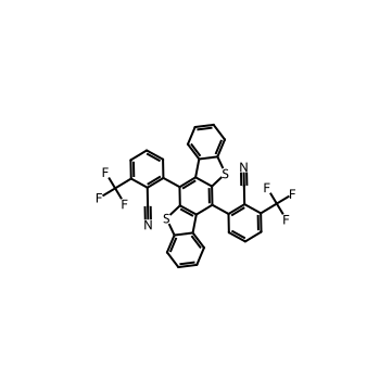 N#Cc1c(-c2c3sc4ccccc4c3c(-c3cccc(C(F)(F)F)c3C#N)c3sc4ccccc4c23)cccc1C(F)(F)F